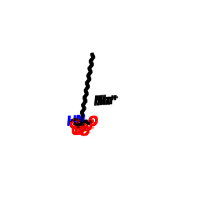 CCCCCCCCCCCCCCCCCCNC(CC=O)(C(=O)[O-])S(=O)(=O)[O-].[Na+].[Na+]